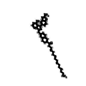 NCCOCCOCCOCCOCCC(=O)N1CCc2cc(Cn3nc(-c4ccc5oc(N)nc5c4)c4c(N)ncnc43)ccc2C1